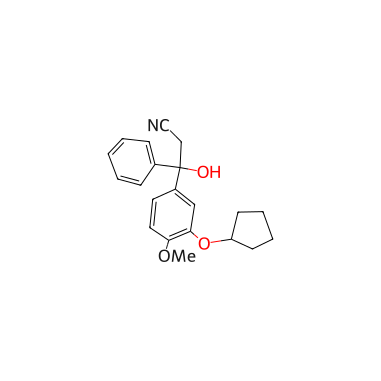 COc1ccc(C(O)(CC#N)c2ccccc2)cc1OC1CCCC1